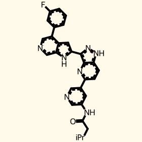 CC(C)CC(=O)Nc1cncc(-c2ccc3[nH]nc(-c4cc5c(-c6cccc(F)c6)cncc5[nH]4)c3n2)c1